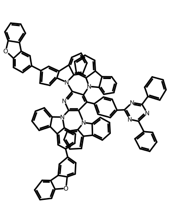 c1ccc(-c2nc(-c3ccccc3)nc(-c3ccc(-c4c(-n5c6ccccc6c6ccccc65)c(-n5c6ccccc6c6cc(-c7ccc8oc9ccccc9c8c7)ccc65)nc(-n5c6ccccc6c6cc(-c7ccc8oc9ccccc9c8c7)ccc65)c4-n4c5ccccc5c5ccccc54)cc3)n2)cc1